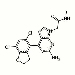 CNC(=O)Cn1ccc2c(-c3c(Cl)cc(Cl)c4c3CCO4)nc(N)nc21